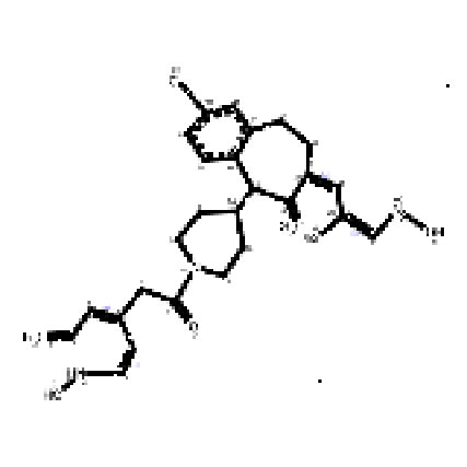 C=C/C=C(\C=C/NO)CC(=O)N1CCC(C2C(=C)/C(=C\C(Br)=C/NO)CCc3cc(Cl)ccc32)CC1